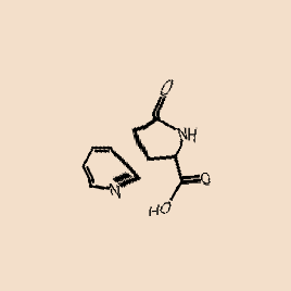 O=C1CCC(C(=O)O)N1.c1ccncc1